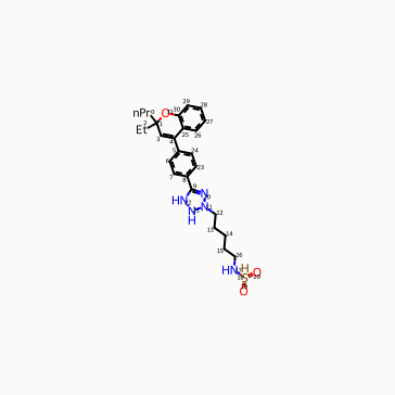 CCCC1(CC)C=C(c2ccc(C3=NN(CCCCCN[SH](=O)=O)NN3)cc2)c2ccccc2O1